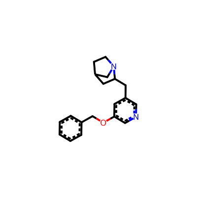 c1ccc(COc2cncc(CC3CC4CCN3C4)c2)cc1